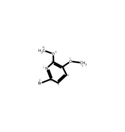 COc1ccc(Br)nc1OC